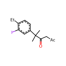 CCc1ccc(C(C)(C)C(=O)CC(C)=O)cc1I